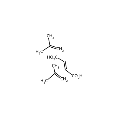 C=C(C)C.C=C(C)C.O=C(O)/C=C/C(=O)O